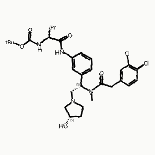 CC(C)C(NC(=O)OC(C)(C)C)C(=O)Nc1cccc([C@@H](CN2CC[C@H](O)C2)N(C)C(=O)Cc2ccc(Cl)c(Cl)c2)c1